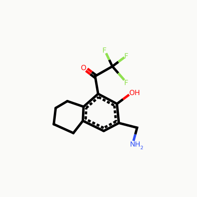 NCc1cc2c(c(C(=O)C(F)(F)F)c1O)CCCC2